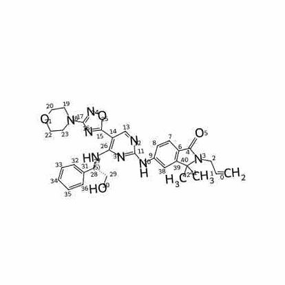 C=CCN1C(=O)c2ccc(Nc3ncc(-c4nc(N5CCOCC5)no4)c(N[C@H](CO)c4ccccc4)n3)cc2C1(C)C